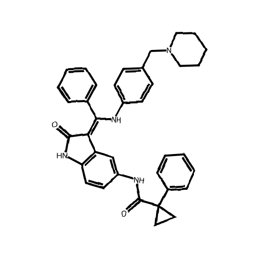 O=C1Nc2ccc(NC(=O)C3(c4ccccc4)CC3)cc2C1=C(Nc1ccc(CN2CCCCC2)cc1)c1ccccc1